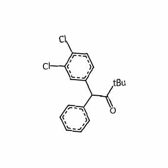 CC(C)(C)C(=O)C(c1ccccc1)c1ccc(Cl)c(Cl)c1